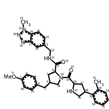 COc1ccc(CC2CC(C(=O)NCc3ccc4c(c3)nnn4C)N(C(=O)C3CC(c4ccccc4C)CN3)C2)cc1